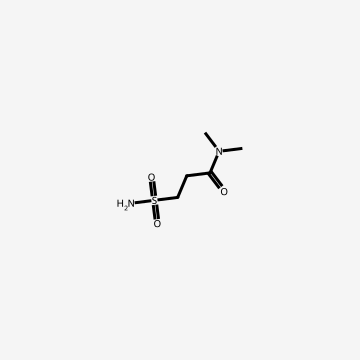 CN(C)C(=O)CCS(N)(=O)=O